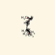 Cc1ccc(-c2cc(C(F)(F)F)nn2-c2ccc(S(=O)(=O)NC(=O)OCCCCCCN(C)[N+]([O-])=NOC(C)OC(=O)C(C)C)cc2)cc1